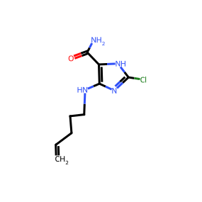 C=CCCCNc1nc(Cl)[nH]c1C(N)=O